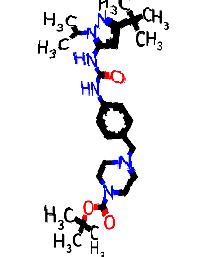 CC(C)n1nc(C(C)(C)C)cc1NC(=O)Nc1ccc(CN2CCN(C(=O)OC(C)(C)C)CC2)cc1